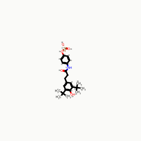 CC(C)(C)c1cc(CCC(=O)Nc2ccc(O[SH](=O)=O)cc2)cc(C(C)(C)C)c1O